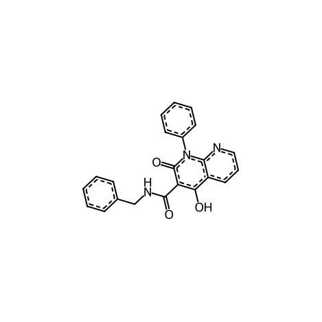 O=C(NCc1ccccc1)c1c(O)c2cccnc2n(-c2ccccc2)c1=O